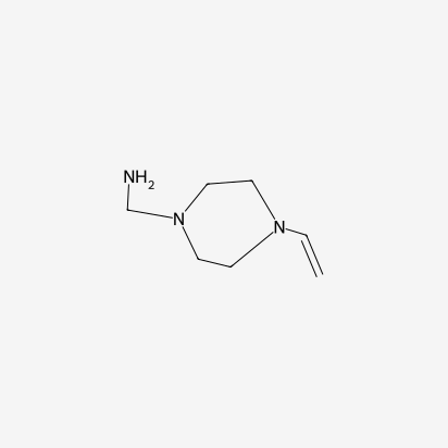 C=CN1CCN(CN)CC1